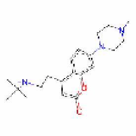 CN1CCN(c2ccc3c(CCNC(C)(C)C)cc(=O)oc3c2)CC1